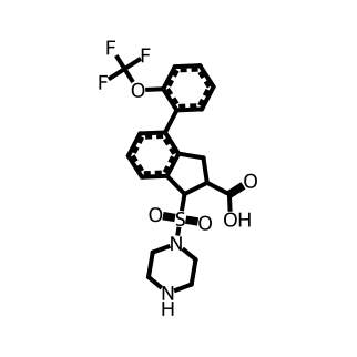 O=C(O)C1Cc2c(-c3ccccc3OC(F)(F)F)cccc2C1S(=O)(=O)N1CCNCC1